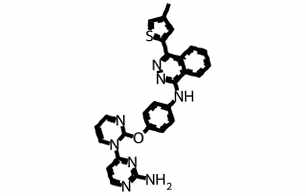 Cc1csc(-c2nnc(Nc3ccc(OC4N=CC=CN4c4ccnc(N)n4)cc3)c3ccccc23)c1